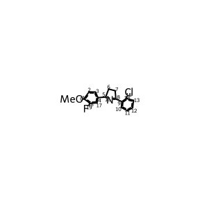 COc1ccc(C2CCC(c3ccccc3Cl)=N2)cc1F